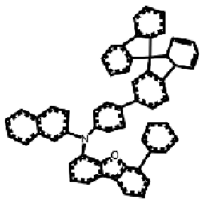 C1=CC2c3ccc(-c4ccc(N(c5ccc6ccccc6c5)c5cccc6c5oc5c(-c7ccccc7)cccc56)cc4)cc3C3(c4ccccc4-c4ccccc43)C2C=C1